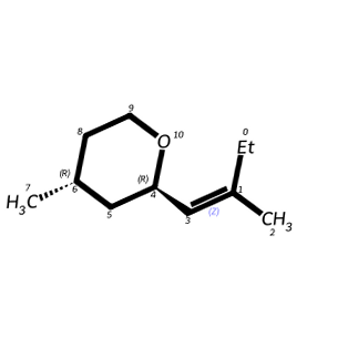 CC/C(C)=C\[C@H]1C[C@H](C)CCO1